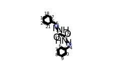 O=C(N/N=C\c1ccccc1)C(=O)N/N=C/c1ccccc1